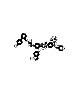 O=C(NS(=O)(=O)c1ccc(NCC2CCOCC2)c(S(=O)(=O)C(F)(F)F)c1)c1ccc(NCCNCc2ccccc2-c2ccc(Cl)cc2)cc1Oc1ccc2[nH]ccc2c1